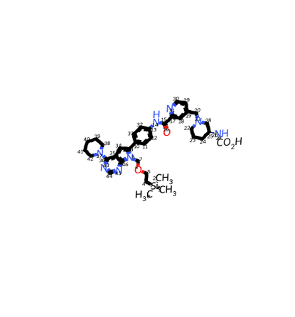 C[Si](C)(C)CCOCn1c(-c2ccc(NC(=O)c3cc(CN4CCC[C@@H](NC(=O)O)C4)ccn3)cc2)cc2c(N3CCCCC3)ncnc21